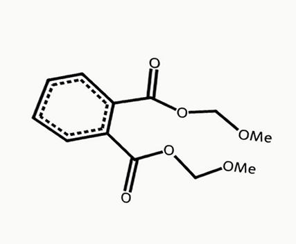 COCOC(=O)c1ccccc1C(=O)OCOC